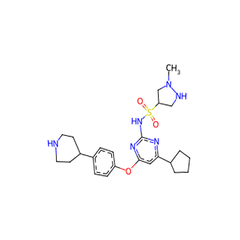 CN1CC(S(=O)(=O)Nc2nc(Oc3ccc(C4CCNCC4)cc3)cc(C3CCCC3)n2)CN1